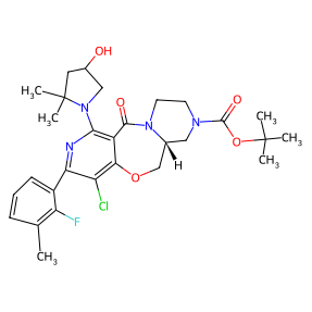 Cc1cccc(-c2nc(N3CC(O)CC3(C)C)c3c(c2Cl)OC[C@H]2CN(C(=O)OC(C)(C)C)CCN2C3=O)c1F